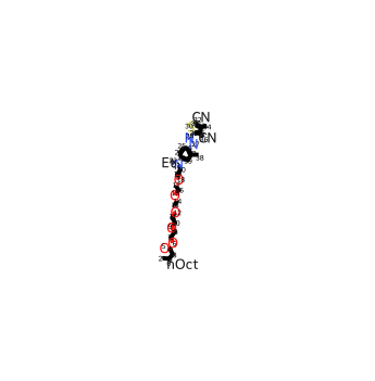 CCCCCCCCC(C)CC(=O)OCCOCCOCCOCCOCCN(CC)c1ccc(/N=N/c2sc(C#N)c(C)c2C#N)c(C)c1